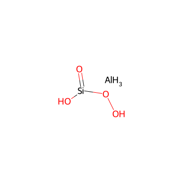 O=[Si](O)OO.[AlH3]